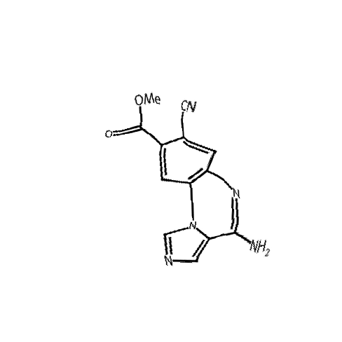 COC(=O)c1cc2c(cc1C#N)nc(N)c1cncn12